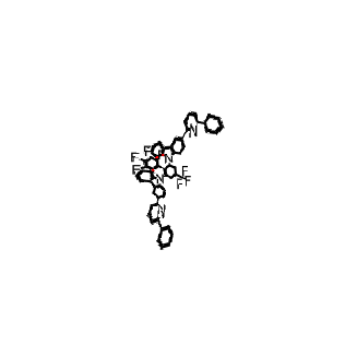 Fc1c(F)c(F)c(-c2c(-n3c4ccccc4c4cc(-c5cccc(-c6ccccc6)n5)ccc43)cc(C(F)(F)F)cc2-n2c3ccccc3c3cc(-c4cccc(-c5ccccc5)n4)ccc32)c(F)c1F